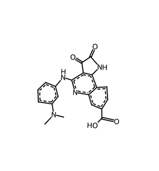 CN(C)c1cccc(Nc2nc3cc(C(=O)O)ccc3c3c2C(=O)C(=O)N3)c1